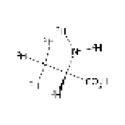 [2H]N([2H])[C@]([2H])(C(=O)O)C([2H])([2H])[2H]